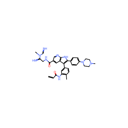 C=CC(=O)Nc1cc(-c2c(-c3ccc(N4CCN(C)CC4)cc3)[nH]c3ncc(C(=O)NCC(=N)N(C)C=N)cc23)ccc1C